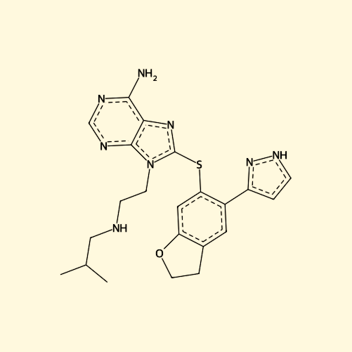 CC(C)CNCCn1c(Sc2cc3c(cc2-c2cc[nH]n2)CCO3)nc2c(N)ncnc21